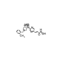 Cc1ccccc1CN1CC[C@@H](Nc2cnc(/C=C/C(=O)NO)cn2)C1.Cl.Cl